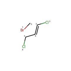 CBr.ClC=CCCl